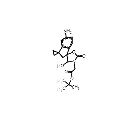 CC(C)(C)OC(=O)CN1C(=O)OC2(CC3(CC3)c3cc(N)ccc32)C1O